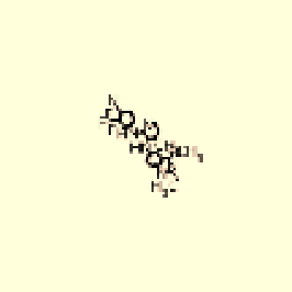 CCc1nc(OC)c2cc(Nc3c(C)ccnc3Nc3ccc(C#N)c(C(F)(F)F)c3)ccc2n1